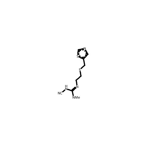 CN/C(=N/CCSCc1cncs1)NC#N